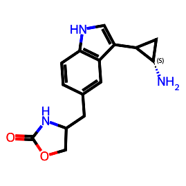 N[C@H]1CC1c1c[nH]c2ccc(CC3COC(=O)N3)cc12